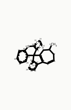 CC1CC=CC2=C(C1)C1(c3ccccc3Sc3ccccc31)c1ccccc12